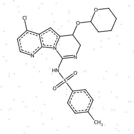 Cc1ccc(S(=O)(=O)NC2=NCC(OC3CCCCO3)c3cc4c(Cl)ccnc4n32)cc1